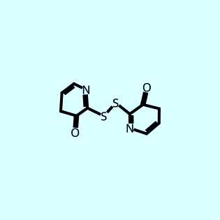 O=C1CC=CN=C1SSC1=NC=CCC1=O